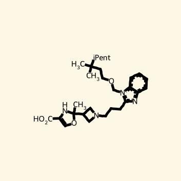 CCCC(C)C(C)(C)CCOCn1c(CCCN2CC(C3(C)NC(C(=O)O)=CO3)C2)nc2ccccc21